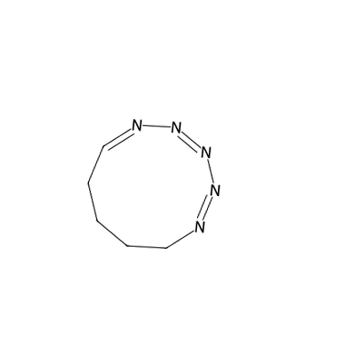 C1=NN=NN=NCCCC1